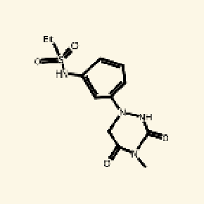 CCS(=O)(=O)Nc1cccc(N2CC(=O)N(C)C(=O)N2)c1